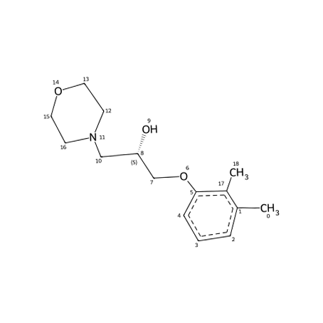 Cc1cccc(OC[C@@H](O)CN2CCOCC2)c1C